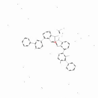 C[C](C)=[Hf]([CH3])([CH3])([CH]1C=Cc2c(-c3ccc(C)c(-c4ccccc4)c3C)cccc21)[CH]1C=Cc2c(-c3ccc(C)c(-c4ccccc4)c3C)cccc21